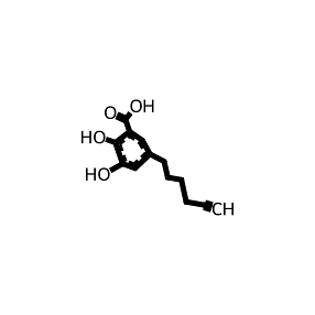 C#CCCCCc1cc(O)c(O)c(C(=O)O)c1